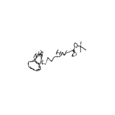 CC(C)(C)OC(=O)NCCCCCn1nnc2ccccc21